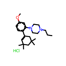 CCCN1CCN(c2cc(OC)ccc2C2=CC(C)(C)CC(C)(C)C2)CC1.Cl